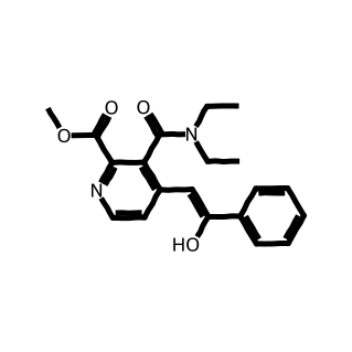 CCN(CC)C(=O)c1c(C=C(O)c2ccccc2)ccnc1C(=O)OC